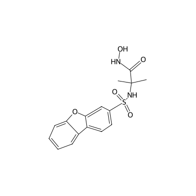 CC(C)(NS(=O)(=O)c1ccc2c(c1)oc1ccccc12)C(=O)NO